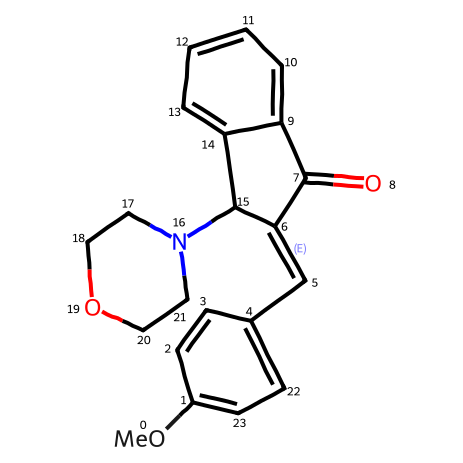 COc1ccc(/C=C2/C(=O)c3ccccc3C2N2CCOCC2)cc1